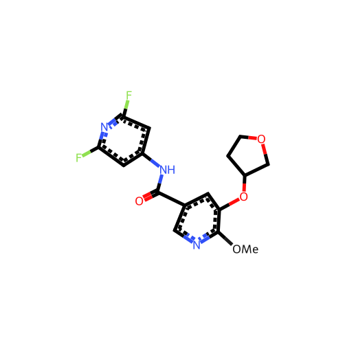 COc1ncc(C(=O)Nc2cc(F)nc(F)c2)cc1OC1CCOC1